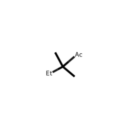 [CH2]C(=O)C(C)(C)CC